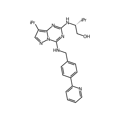 CC(C)c1cnn2c(NCc3ccc(-c4ccccn4)cc3)nc(N[C@@H](CO)C(C)C)nc12